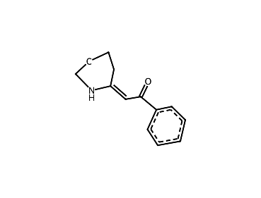 O=C(/C=C1\CCCCN1)c1ccccc1